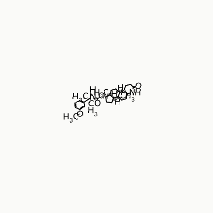 COc1cccc(C(C)(C)NC(=O)O[C@H]2CC[C@H]3[C@@H]4CC=C5NC(=O)CC[C@]5(C)[C@H]4CC[C@]23C)c1